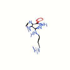 NCCCNc1n[nH]c(=O)c2nccnc12